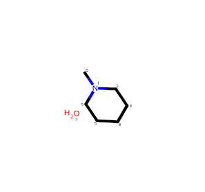 CN1CCCCC1.O